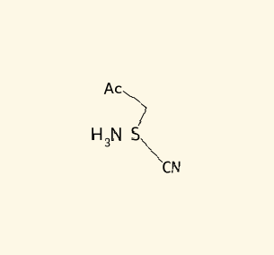 CC(=O)CSC#N.N